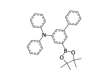 CC1(C)OB(c2cc(-c3ccccc3)cc(N(c3ccccc3)c3ccccc3)c2)OC1(C)C